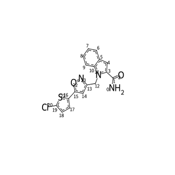 NC(=O)c1cc2ccccc2n1Cc1cc(-c2ccc(Cl)s2)on1